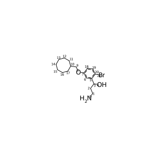 NCCC(O)c1cc(OCC2CCCCCCC2)ccc1Br